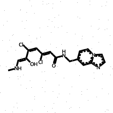 CN/C=C(O)/C(Cl)=C\C(Cl)=C\C(=O)NCc1ccn2ccnc2c1